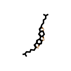 CC(C)CCCCc1cc2c(s1)CC1Sc3cc4sc(CCCCC(C)C)cc4cc3C1=C2